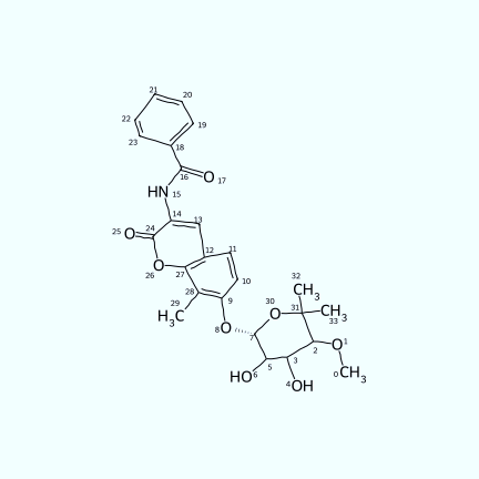 COC1C(O)C(O)[C@H](Oc2ccc3cc(NC(=O)c4ccccc4)c(=O)oc3c2C)OC1(C)C